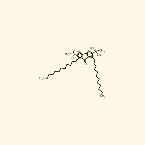 CCCCCCCCCCCCc1c([Si](C)(C)C)sc2c1C(=O)c1c-2sc([Si](C)(C)C)c1CCCCCCCCCCCC